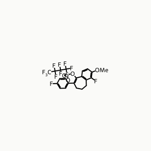 COc1ccc2c(c1F)CCCC(c1ccc(F)cc1)=C2OS(=O)(=O)C(F)(F)C(F)(F)C(F)(F)C(F)(F)F